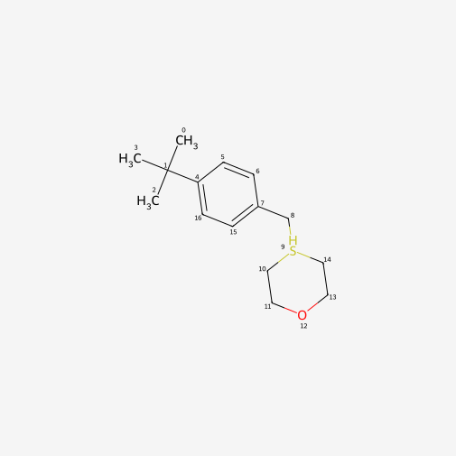 CC(C)(C)c1ccc(C[SH]2CCOCC2)cc1